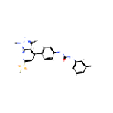 Cc1nn(C)c2nc(S(C)(=O)=O)cc(-c3ccc(NC(=O)Nc4cccc(C(F)(F)F)c4)cc3)c12